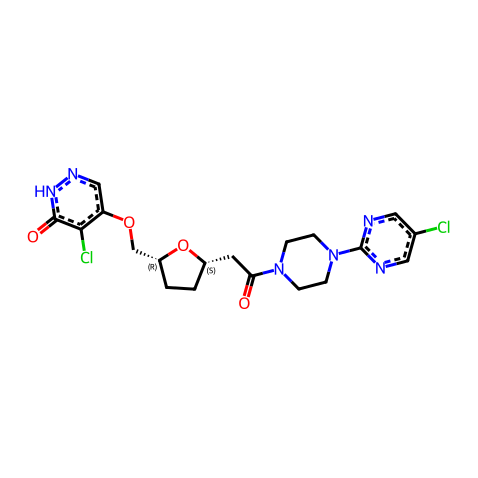 O=C(C[C@@H]1CC[C@H](COc2cn[nH]c(=O)c2Cl)O1)N1CCN(c2ncc(Cl)cn2)CC1